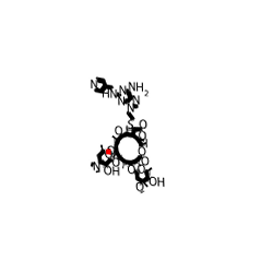 CO[C@]1(C)C[C@@H](C)C(=O)[C@H](C)[C@H]2[C@H](SCCn3cnc4c(N)nc(NCc5ccncc5)nc43)C(=O)O[C@]2(C)[C@@H](I)OC(=O)[C@H](C)[C@@H](O[C@H]2C[C@@](C)(OC)[C@@H](O)[C@H](C)O2)[C@H](C)[C@H]1O[C@@H]1O[C@H](C)C[C@H](N(C)C)[C@H]1O